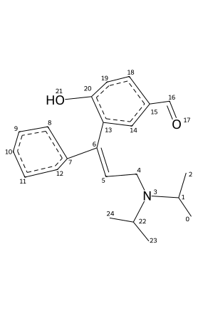 CC(C)N(C/C=C(/c1ccccc1)c1cc(C=O)ccc1O)C(C)C